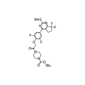 CSc1nc(-c2cc(F)c(OCC(=O)N3CCN(C(=O)OC(C)(C)C)CC3)c(F)c2)c2c(n1)C(F)(F)CC2